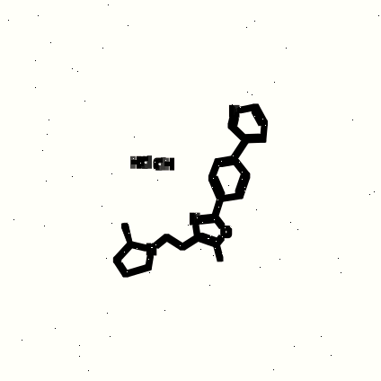 Cc1oc(-c2ccc(-c3cccnc3)cc2)nc1CCN1CCC[C@H]1C.Cl.Cl